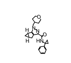 O=C(NC1(c2ccccc2)CC1)c1nn(CC2CCOCC2)c2c1C[C@H]1C[C@@H]21